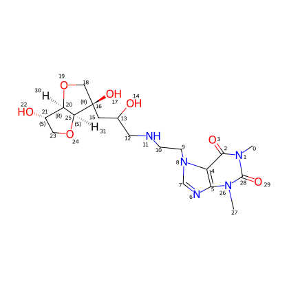 Cn1c(=O)c2c(ncn2CCNCC(O)C[C@@]2(O)CO[C@@H]3[C@@H](O)CO[C@@H]32)n(C)c1=O